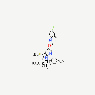 CC(C)(C)Sc1c(CC(C)(C)C(=O)O)n(Cc2ccc(C#N)cc2)c2ncc(OCc3ccc4cc(F)ccc4n3)cc12